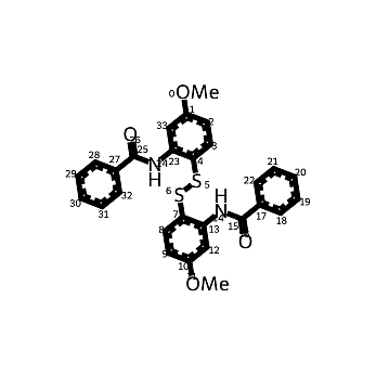 COc1ccc(SSc2ccc(OC)cc2NC(=O)c2ccccc2)c(NC(=O)c2ccccc2)c1